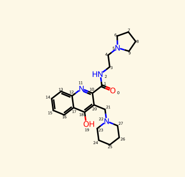 O=C(NCCN1CCCC1)c1nc2ccccc2c(O)c1CN1CCCCC1